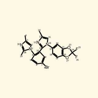 Cc1cn(-c2ccc(Br)cc2-c2nc(C)cn2-c2ccc3c(c2)OC(F)(F)O3)c(C)n1